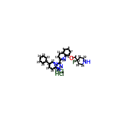 Cl.Cl.FC1(COc2cccc3ccc(-c4nnc5ccc(-c6ccccc6)cn45)nc23)CCNCC1